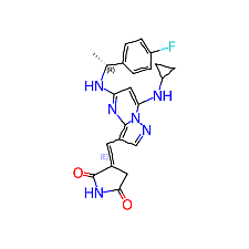 C[C@@H](Nc1cc(NC2CC2)n2ncc(/C=C3\CC(=O)NC3=O)c2n1)c1ccc(F)cc1